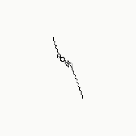 C=CCCCCCCCOc1ccc(N2CCN(CCCCCCCCCCCCCCCC)CC2)cc1